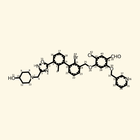 Cc1c(-c2nc(CN3CCC(O)CC3)no2)cccc1-c1cccc(COc2cc(OCc3cccnc3)c(C=O)cc2Cl)c1Br